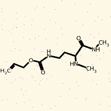 C=CCOC(=O)NCCC(NC)C(=O)NC